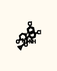 O=C1CC[C@H](c2cccc(Cl)c2)[C@]2(C(=O)Nc3cc(Cl)ccc32)N1CC1CC1